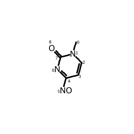 Cn1ccc(N=O)nc1=O